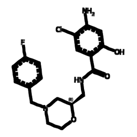 Nc1cc(O)c(C(=O)NC[C@@H]2CN(Cc3ccc(F)cc3)CCO2)cc1Cl